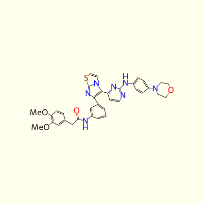 COc1ccc(CC(=O)Nc2cccc(-c3nc4sccn4c3-c3ccnc(Nc4ccc(N5CCOCC5)cc4)n3)c2)cc1OC